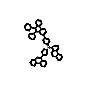 c1ccc(-c2c(-c3ccccc3)c3cc(-c4ccc(N(c5ccc(-c6cc7ccccc7c7ccccc67)cc5)c5cccc6c5ccc5ccccc56)cc4)ccc3c3ccccc23)cc1